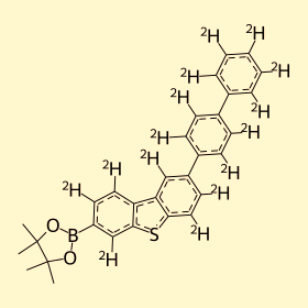 [2H]c1c([2H])c([2H])c(-c2c([2H])c([2H])c(-c3c([2H])c([2H])c4sc5c([2H])c(B6OC(C)(C)C(C)(C)O6)c([2H])c([2H])c5c4c3[2H])c([2H])c2[2H])c([2H])c1[2H]